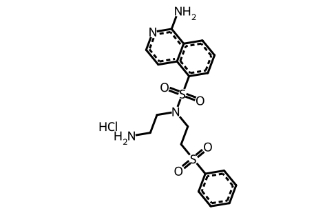 Cl.NCCN(CCS(=O)(=O)c1ccccc1)S(=O)(=O)c1cccc2c(N)nccc12